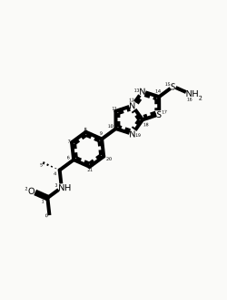 CC(=O)N[C@H](C)c1ccc(-c2cn3nc(SN)sc3n2)cc1